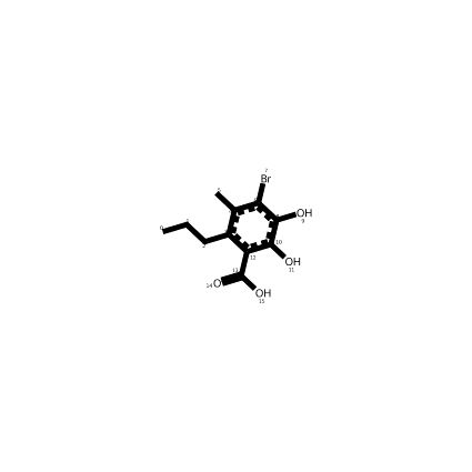 CCCc1c(C)c(Br)c(O)c(O)c1C(=O)O